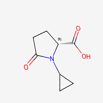 O=C(O)[C@H]1CCC(=O)N1C1CC1